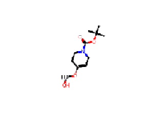 CC(C)(C)OC(=O)N1CC=C(OBO)CC1